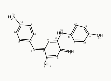 N=C1C=C(N)C(=Nc2ccc(N)cc2)C=C1Nc1ccc(O)cc1